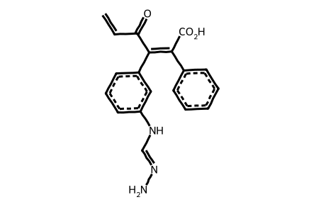 C=CC(=O)C(=C(C(=O)O)c1ccccc1)c1cccc(NC=NN)c1